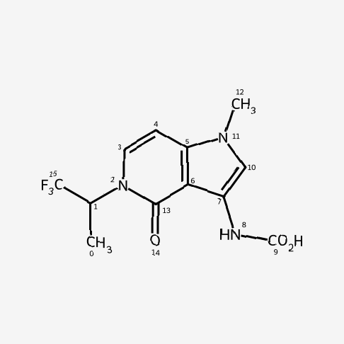 CC(n1ccc2c(c(NC(=O)O)cn2C)c1=O)C(F)(F)F